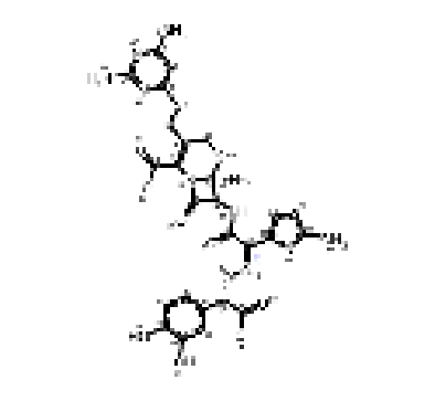 Nc1cc(SCC2=C(C(=O)O)N3C(=O)C(NC(=O)/C(=N\O[C@H](C(=O)O)c4ccc(O)c(O)c4)c4csc(N)n4)[C@@H]3SC2)nc(N)n1